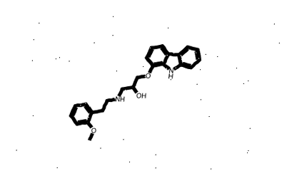 COc1ccccc1CCNCC(O)COc1cccc2c1[nH]c1ccccc12